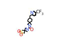 O=C(N1CC2(CCC(Cc3ccc(C(F)(F)F)cn3)CC2)C1)N1CC2(C1)CS(=O)(=O)C2